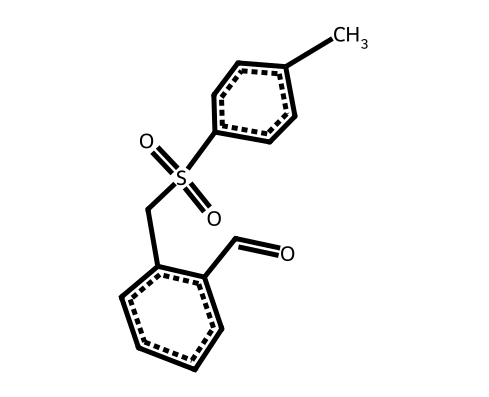 Cc1ccc(S(=O)(=O)Cc2ccccc2C=O)cc1